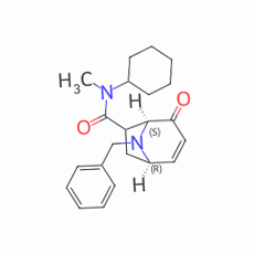 CN(C(=O)C1C[C@@H]2C=CC(=O)[C@H]1N2Cc1ccccc1)C1CCCCC1